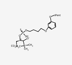 CCCCCOc1cccc(OCCCCOP(=S)(S)O[C@H](CC(=O)O)C([O-])[N+](C)(C)C)c1